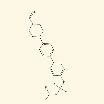 C=CC1CCC(c2ccc(-c3ccc(OC(F)(F)C=C(F)F)cc3)cc2)CC1